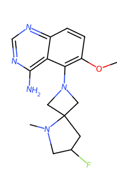 COc1ccc2ncnc(N)c2c1N1CC2(CC(F)CN2C)C1